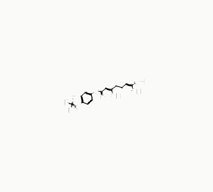 CC(C)=CCC/C(C)=C/C(=O)Oc1ccc(OC(F)(F)F)cc1